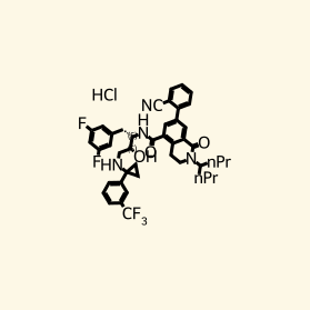 CCCC(CCC)N1CCc2c(C(=O)N[C@@H](Cc3cc(F)cc(F)c3)[C@@H](O)CNC3(c4cccc(C(F)(F)F)c4)CC3)cc(-c3ccccc3C#N)cc2C1=O.Cl